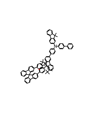 CC(CC(c1ccc(-c2ccc3c(c2)C2(c4ccccc4-3)c3ccccc3-c3ccc(-c4ccc(-n5c6ccccc6c6cc(-c7ccc(N(c8ccc(-c9ccccc9)cc8)c8ccc9c(c8)C(C)(C)c8ccccc8-9)cc7)ccc65)cc4)cc32)cc1)C(C)C(C)(C)C)C(C)(C)C